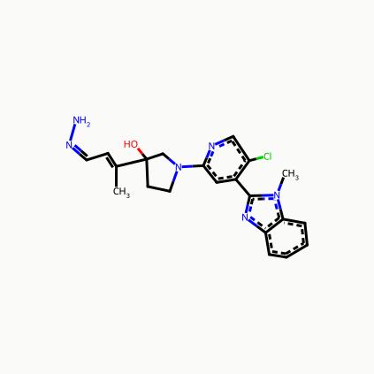 C/C(=C\C=N/N)C1(O)CCN(c2cc(-c3nc4ccccc4n3C)c(Cl)cn2)C1